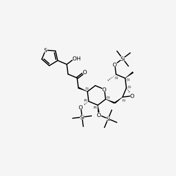 C[C@@H]([C@@H]1O[C@H]1C[C@@H]1OC[C@H](CC(=O)CC(O)c2ccsc2)[C@@H](O[Si](C)(C)C)[C@@H]1O[Si](C)(C)C)[C@H](C)O[Si](C)(C)C